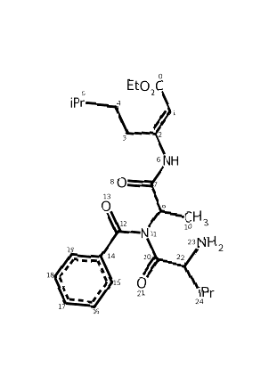 CCOC(=O)C=C(CCC(C)C)NC(=O)C(C)N(C(=O)c1ccccc1)C(=O)C(N)C(C)C